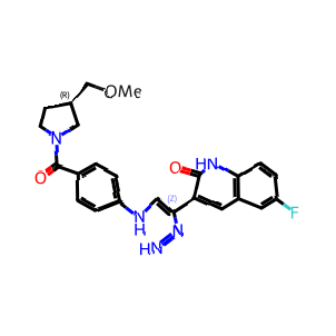 COC[C@@H]1CCN(C(=O)c2ccc(N/C=C(\N=N)c3cc4cc(F)ccc4[nH]c3=O)cc2)C1